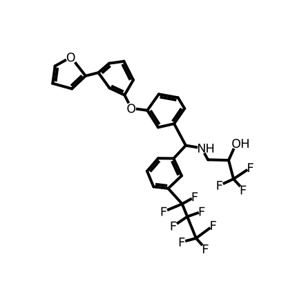 OC(CNC(c1cccc(Oc2cccc(-c3ccco3)c2)c1)c1cccc(C(F)(F)C(F)(F)C(F)(F)F)c1)C(F)(F)F